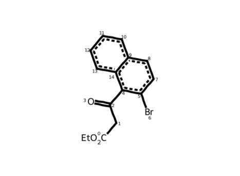 CCOC(=O)CC(=O)c1c(Br)ccc2ccccc12